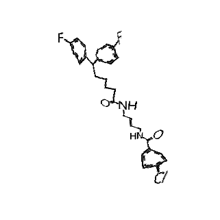 O=C(CCCCC(c1ccc(F)cc1)c1ccc(F)cc1)NCC=CCNC(=O)c1ccc(Cl)cc1